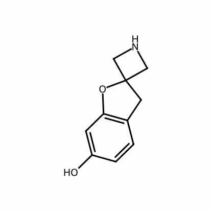 Oc1ccc2c(c1)OC1(CNC1)C2